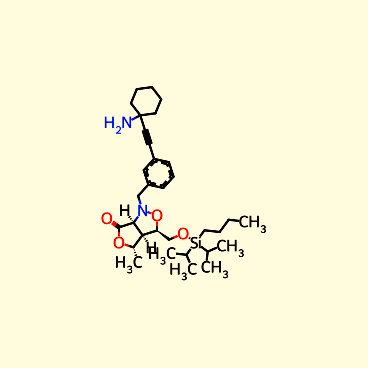 CCCC[Si](OC[C@@H]1ON(Cc2cccc(C#CC3(N)CCCCC3)c2)[C@@H]2C(=O)O[C@@H](C)[C@H]12)(C(C)C)C(C)C